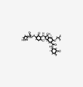 Cn1c(Nc2c(Cl)ccc(CNC(=O)c3cc[nH]n3)c2Cl)nc2cc(C(=O)Nc3ccc(F)c(Cl)c3)c(OCC(F)F)cc21